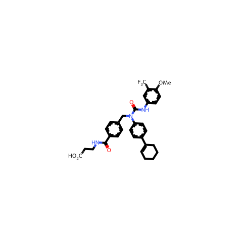 COc1ccc(NC(=O)N(Cc2ccc(C(=O)NCCC(=O)O)cc2)c2ccc(C3=CCCCC3)cc2)cc1C(F)(F)F